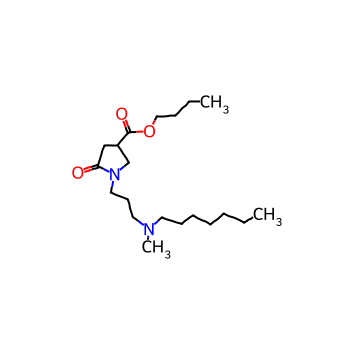 CCCCCCCN(C)CCCN1CC(C(=O)OCCCC)CC1=O